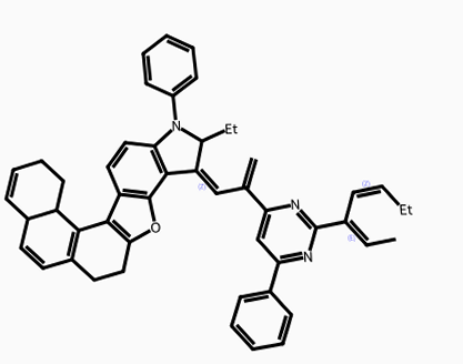 C=C(/C=C1/c2c(ccc3c4c(oc23)CCC2=C4C3CCC=CC3C=C2)N(c2ccccc2)C1CC)c1cc(-c2ccccc2)nc(C(/C=C\CC)=C/C)n1